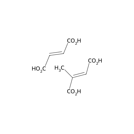 CC(=CC(=O)O)C(=O)O.O=C(O)C=CC(=O)O